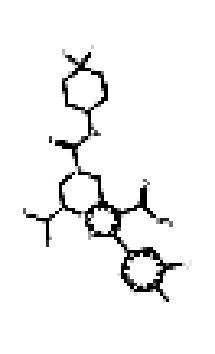 NC(=O)c1c(-c2ccc(F)c(Cl)c2)nn2c1CN(C(=O)NC1CCC(F)(F)CC1)C[C@@H]2C(F)F